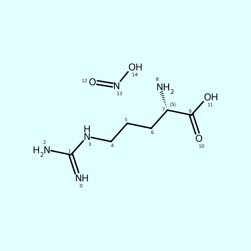 N=C(N)NCCC[C@H](N)C(=O)O.O=NO